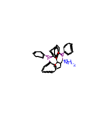 N[C@H](C1CCCC1c1ccccc1P(c1ccccc1)c1ccccc1)P(c1ccccc1)c1ccccc1